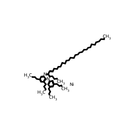 CCCCCCCCCCCCCCCCCCCCCCCCCC=CC(=Nc1cc(CCCC)cc(CCCC)c1)C(CCCC)=Nc1cc(CCCC)cc(CCCC)c1.[Ni]